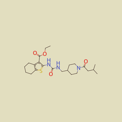 CCOC(=O)c1c(NC(=O)NCC2CCN(C(=O)CC(C)C)CC2)sc2c1CCCC2